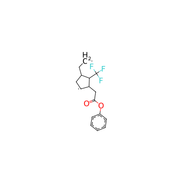 [CH2]CC1C[CH]C(CC(=O)Oc2ccccc2)C1C(F)(F)F